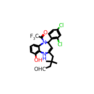 CC(C)(CC=O)CC1=CC(c2ccc(Cl)cc2Cl)N(C(=O)C(F)(F)F)c2cccc(O)c2N1